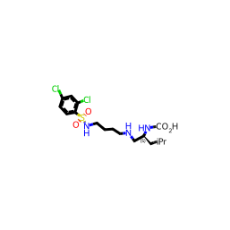 CC(C)C[C@@H](CNCCCCNS(=O)(=O)c1ccc(Cl)cc1Cl)NC(=O)O